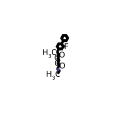 C/C=C/C(=O)OCOC(=O)C(C)c1ccc(-c2ccccc2)c(F)c1